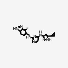 Fc1c(CNc2nccc(Nc3cc(C4CC4)[nH]n3)n2)ccc2[nH]cnc12